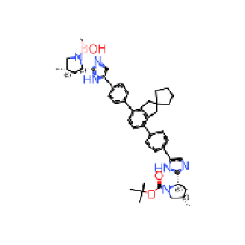 CB(O)N1C[C@@H](C)C[C@H]1c1ncc(-c2ccc(-c3ccc(-c4ccc(-c5cnc([C@@H]6C[C@H](C)CN6C(=O)OC(C)(C)C)[nH]5)cc4)c4c3CC3(CCCC3)C4)cc2)[nH]1